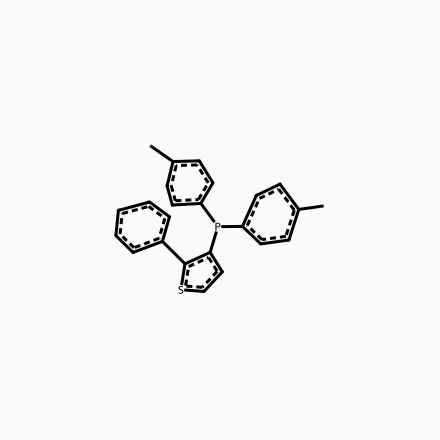 Cc1ccc(P(c2ccc(C)cc2)c2ccsc2-c2ccccc2)cc1